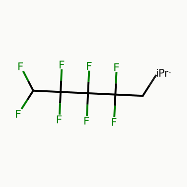 C[C](C)CC(F)(F)C(F)(F)C(F)(F)C(F)F